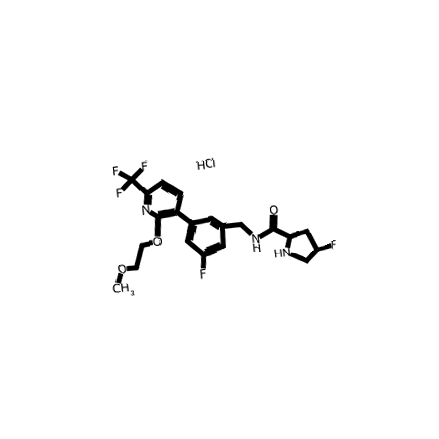 COCCOc1nc(C(F)(F)F)ccc1-c1cc(F)cc(CNC(=O)C2CC(F)CN2)c1.Cl